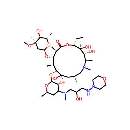 CC[C@H]1OC(=O)[C@H](C)[C@@H](O[C@H]2C[C@@](C)(OC)[C@@H](O)[C@H](C)O2)[C@H](C)[C@@H](O[C@@H]2O[C@H](C)CC(N(C)CC(O)CNN3CCOCC3)[C@H]2O)[C@](C)(O)C[C@@H](C)CN(C)[C@H](C)[C@@H](O)[C@]1(C)O